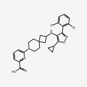 O=C(O)c1cccc(N2CCC3(CC2)CC(Nc2c(-c4c(Cl)cccc4Cl)noc2C2CC2)C3)n1